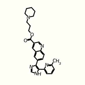 Cc1cccc(-c2[nH]cnc2-c2ccc3ncc(C(=O)OCCCN4CCCCC4)cc3c2)n1